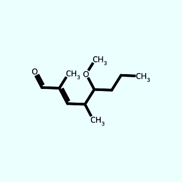 CCCC(OC)C(C)/C=C(\C)C=O